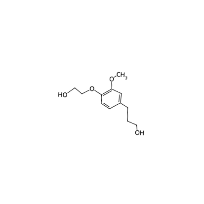 COc1cc(CCCO)ccc1OCCO